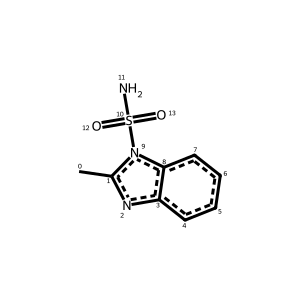 Cc1nc2ccccc2n1S(N)(=O)=O